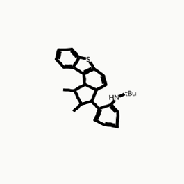 CC1C(C)C2c3c(sc4ccccc34)C=CC2C1c1ccccc1NC(C)(C)C